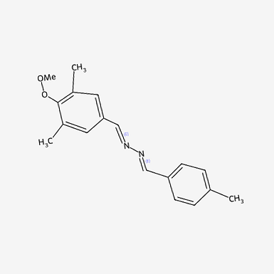 COOc1c(C)cc(/C=N/N=C/c2ccc(C)cc2)cc1C